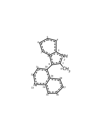 Cc1[nH]c2ccccc2c1-c1ccnc2ccccc12